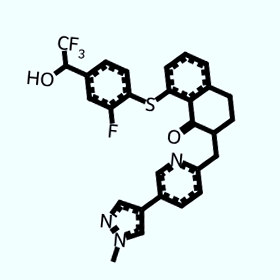 Cn1cc(-c2ccc(CC3CCc4cccc(Sc5ccc(C(O)C(F)(F)F)cc5F)c4C3=O)nc2)cn1